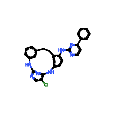 Clc1cnc2nc1Nc1ccc(Nc3nccc(-c4ccccc4)n3)c(c1)CCc1cccc(c1)N2